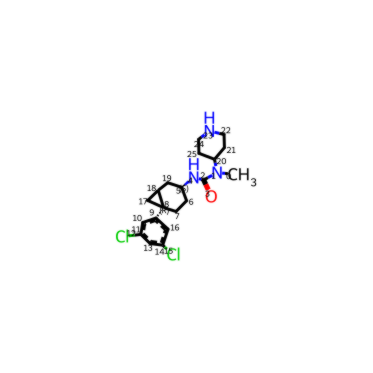 CN(C(=O)N[C@H]1CC[C@@]2(c3cc(Cl)cc(Cl)c3)CC2C1)C1CCNCC1